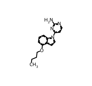 CCCCOc1cccc2c1ccn2-c1ccnc(N)n1